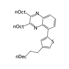 CCCCCCCCCCCCc1csc(-c2cccc3nc(CCCCCCCC)c(CCCCCCCC)nc23)c1